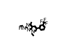 CCNc1nc(C)c2c(n1)N(CC)CC(c1cccc(C(F)(F)F)c1)=C2